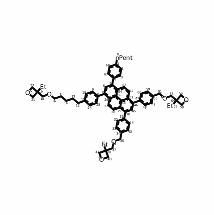 CCCCCc1ccc(-c2cc(-c3ccc(CCCCCOCC4(CC)COC4)cc3)c3ccc4c(-c5ccc(COCC6(CC)COC6)cc5)cc(-c5ccc(COCC6(CC)COC6)cc5)c5ccc2c3c54)cc1